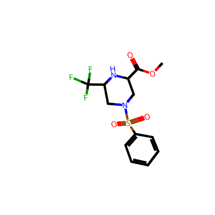 COC(=O)C1CN(S(=O)(=O)c2ccccc2)CC(C(F)(F)F)N1